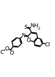 COC(=O)c1ccc(/N=c2\oc3ccc(Cl)cc3cc2C(N)=S)cc1